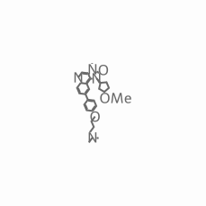 COC1CCC(n2c(=O)n(C)c3cnc4ccc(-c5ccc(OCCCN(C)C)cc5)cc4c32)C1